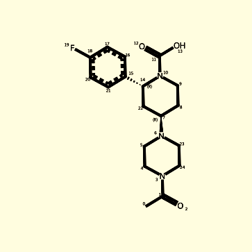 CC(=O)N1CCN([C@@H]2CCN(C(=O)O)[C@@H](c3ccc(F)cc3)C2)CC1